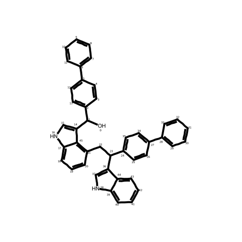 OC(c1ccc(-c2ccccc2)cc1)c1c[nH]c2cccc(CC(c3ccc(-c4ccccc4)cc3)c3c[nH]c4ccccc34)c12